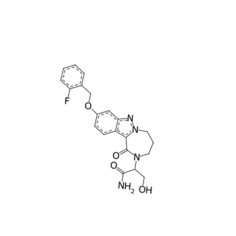 NC(=O)C(CO)N1CCCn2nc3cc(OCc4ccccc4F)ccc3c2C1=O